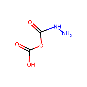 NNC(=O)OC(=O)O